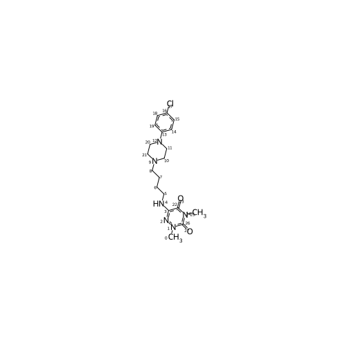 Cn1nc(NCCCCN2CCN(c3ccc(Cl)cc3)CC2)c(=O)n(C)c1=O